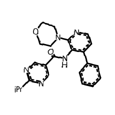 CC(C)c1ncc(C(=O)Nc2c(-c3ccccc3)ccnc2N2CCOCC2)cn1